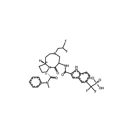 CN(C(=O)[C@@H]1CC[C@@H]2CCN(CC(F)F)CC(NC(=O)c3cc4cc(C(F)(F)P(=O)(O)O)ccc4[nH]3)C(=O)N21)c1ccccc1